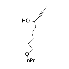 CC#CC(O)CCCCCOCCC